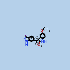 COc1ccc2c(c1)C(C)(C(C)c1ccc3c(I)n[nH]c3c1)C(=O)N2